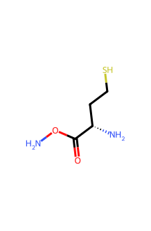 NOC(=O)[C@@H](N)CCS